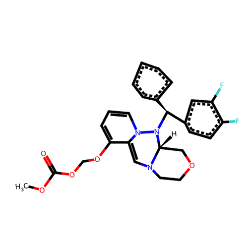 COC(=O)OCOC1=CC=CN2C1=CN1CCOC[C@H]1N2[C@@H](c1ccccc1)c1ccc(F)c(F)c1